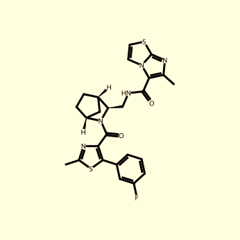 Cc1nc(C(=O)N2[C@@H]3CC[C@@H](C3)[C@H]2CNC(=O)c2c(C)nc3sccn23)c(-c2cccc(F)c2)s1